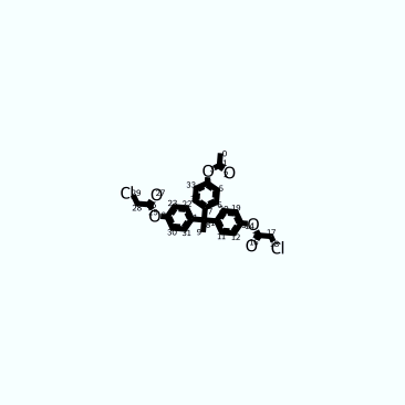 CC(=O)Oc1ccc(C(C)(c2ccc(OC(=O)CCl)cc2)c2ccc(OC(=O)CCl)cc2)cc1